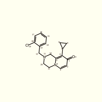 O=c1ccn2c(c1C1CC1)CN(Cc1ccccc1Cl)CC2